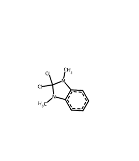 CN1c2ccccc2N(C)C1(Cl)Cl